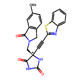 COc1ccc2c(c1)C(=O)N(C[C@@]1(C#Cc3nc4ccccc4s3)NC(=O)NC1=O)C2